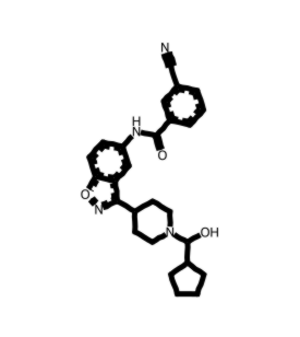 N#Cc1cccc(C(=O)Nc2ccc3onc(C4CCN(C(O)C5CCCC5)CC4)c3c2)c1